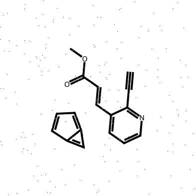 C#Cc1ncccc1C=CC(=O)OC.c1cc2cc-2c1